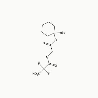 CCCCC1(OC(=O)COC(=O)C(F)(F)S(=O)(=O)O)CCCCC1